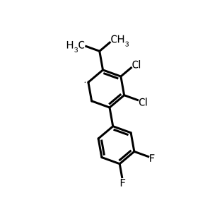 CC(C)C1=C(Cl)C(Cl)=C(c2ccc(F)c(F)c2)C[CH]1